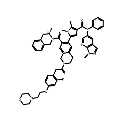 Cc1c(C(=O)N(c2ccccc2)c2cnc3c(cnn3C)c2)cc(-c2cc3c(cc2C(=O)N2Cc4ccccc4C[C@H]2C)CN(C(=O)Cc2ccc(OCCN4CCOCC4)cc2F)CC3)n1C